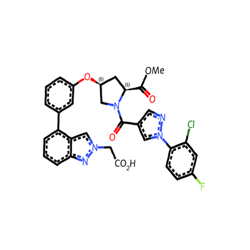 COC(=O)[C@@H]1C[C@H](Oc2cccc(-c3cccc4nn(CC(=O)O)cc34)c2)CN1C(=O)c1cnn(-c2ccc(F)cc2Cl)c1